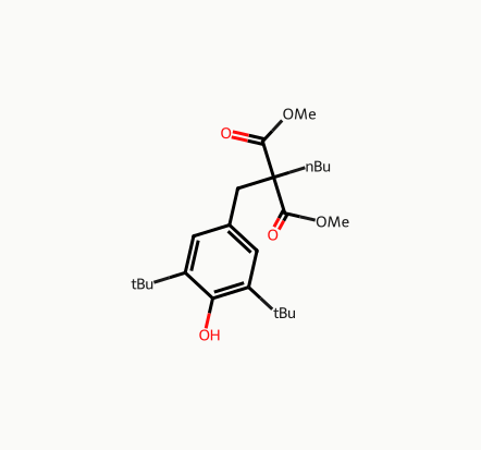 CCCCC(Cc1cc(C(C)(C)C)c(O)c(C(C)(C)C)c1)(C(=O)OC)C(=O)OC